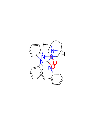 CN(Cc1ccc2ccccc2n1)C(=O)N1[C@@H]2CC[C@H]1CN(C(=O)N(c1ccccc1)c1ccccc1)C2